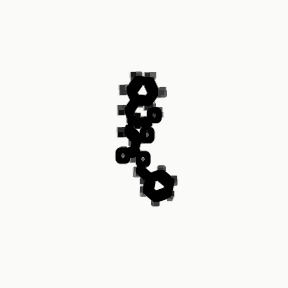 O=C(OCc1ccccc1)c1cn(Cc2ccccc2)c(=O)o1